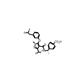 C[C@H](NC(=O)c1c(C(F)F)nn(C)c1Oc1cccc(CC(F)F)c1)c1ccc(C(=O)O)cc1